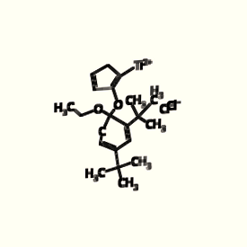 CCOC1(OC2=[C]([Ti+2])CC=C2)CC=C(C(C)(C)C)C=C1C(C)(C)C.[Cl-].[Cl-]